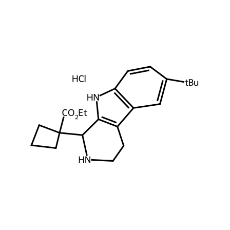 CCOC(=O)C1(C2NCCc3c2[nH]c2ccc(C(C)(C)C)cc32)CCC1.Cl